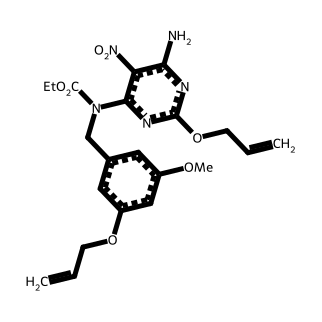 C=CCOc1cc(CN(C(=O)OCC)c2nc(OCC=C)nc(N)c2[N+](=O)[O-])cc(OC)c1